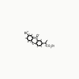 CCOC(=O)C(C)c1ccc2c(c1)[S+]([O-])c1cc(Br)ccc1O2